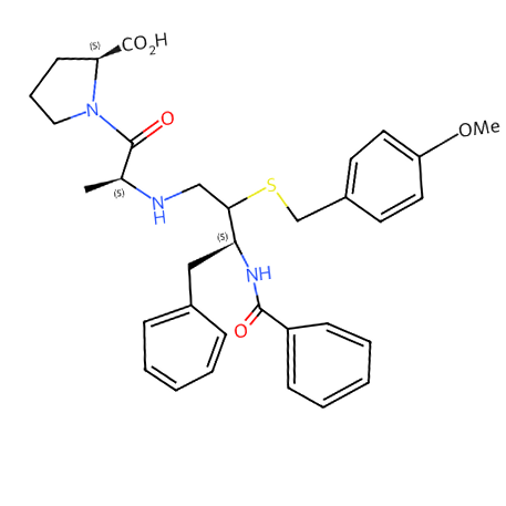 COc1ccc(CSC(CN[C@@H](C)C(=O)N2CCC[C@H]2C(=O)O)[C@H](Cc2ccccc2)NC(=O)c2ccccc2)cc1